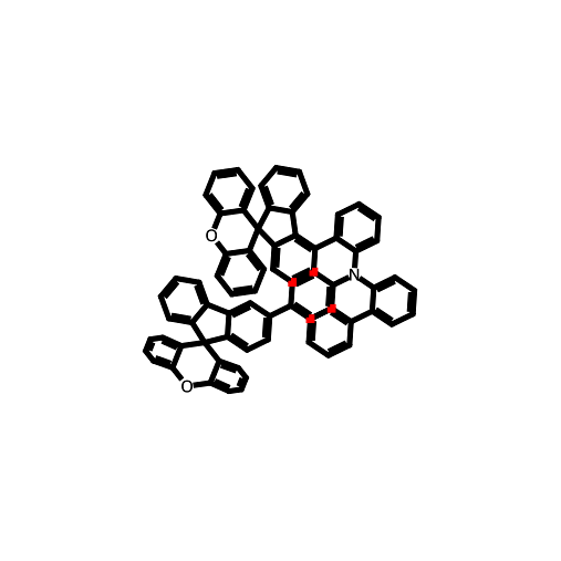 c1ccc(-c2ccccc2N(c2ccc(-c3ccc4c(c3)-c3ccccc3C43c4ccccc4Oc4ccccc43)cc2)c2ccccc2-c2cccc3c2-c2ccccc2C32c3ccccc3Oc3ccccc32)cc1